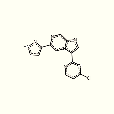 Clc1ccnc(-c2cnc3cnc(-c4cc[nH]n4)cn23)n1